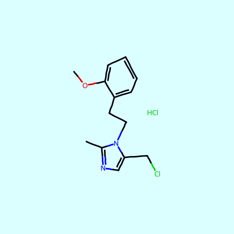 COc1ccccc1CCn1c(CCl)cnc1C.Cl